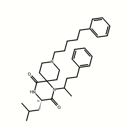 CC(C)C[C@@H]1NC(=O)C2(CCN(CCCCCc3ccccc3)CC2)N(C(C)CCc2ccccc2)C1=O